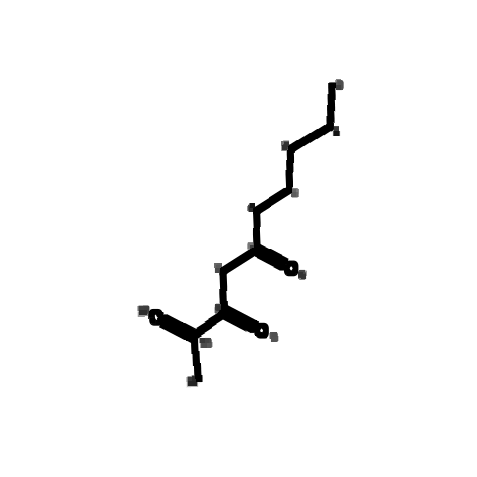 CCCCCC(=O)CC(=O)C(C)=O